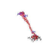 CC[C@H](C(=O)N1CCCC[C@H]1C(=O)O[C@H](CCc1ccc(OC)c(OC)c1)c1cccc(OCC(=O)NCCOCCOCCOCCOCCOCCOCCOCCOCCOCCOCCOCCNC(=O)COc2cccc3c2C(=O)N(C2CCC(=O)NC2=O)C3=O)c1)c1cc(OC)c(OC)c(OC)c1